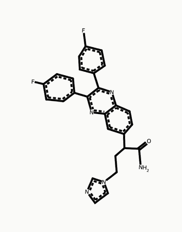 NC(=O)C(CCn1ccnc1)c1ccc2nc(-c3ccc(F)cc3)c(-c3ccc(F)cc3)nc2c1